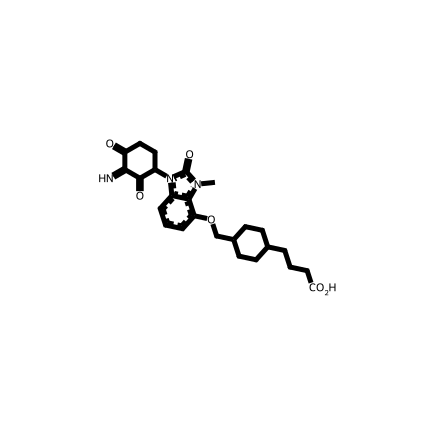 Cn1c(=O)n(C2CCC(=O)C(=N)C2=O)c2cccc(OCC3CCC(CCCC(=O)O)CC3)c21